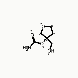 NC(=O)OC1(CO)CCOC1